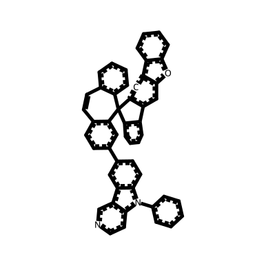 C1=Cc2ccc(-c3ccc4c(c3)c3cnccc3n4-c3ccccc3)cc2C2(c3ccccc31)c1ccccc1-c1cc3oc4ccccc4c3cc12